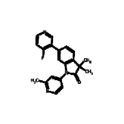 Cc1cc(N2C(=O)C(C)(C)c3ccc(-c4cnccc4F)cc32)ccn1